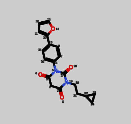 O=C1CC(=O)N(c2ccc(-c3ccco3)cc2)C(=O)N1CCC1CC1